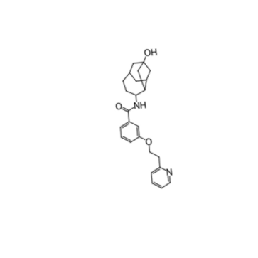 O=C(NC1CCC2CC3CC(O)(C2)CC31)c1cccc(OCCc2ccccn2)c1